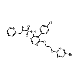 O=S(=O)(NCc1ccccn1)Nc1ncnc(OCCOc2ncc(Br)cn2)c1-c1ccc(Cl)cc1